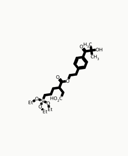 CCO[Si](CCCC(CC(=O)O)C(=O)OCCc1ccc(C(=O)C(C)(C)O)cc1)(OCC)OCC